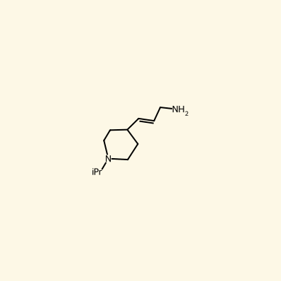 CC(C)N1CCC(/C=C/CN)CC1